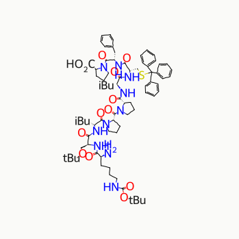 CC[C@H](C)[C@H](NC(=O)[C@@H]1CCCN1C(=O)[C@@H]1CCCN1C(=O)[C@@H](NC(=O)[C@H](COC(C)(C)C)NC(=O)[C@@H](N)CCCCNC(=O)OC(C)(C)C)[C@@H](C)CC)C(=O)N[C@@H](CSC(c1ccccc1)(c1ccccc1)c1ccccc1)C(=O)N[C@@H](Cc1ccccc1)C(=O)N1CCC[C@H]1C(=O)O